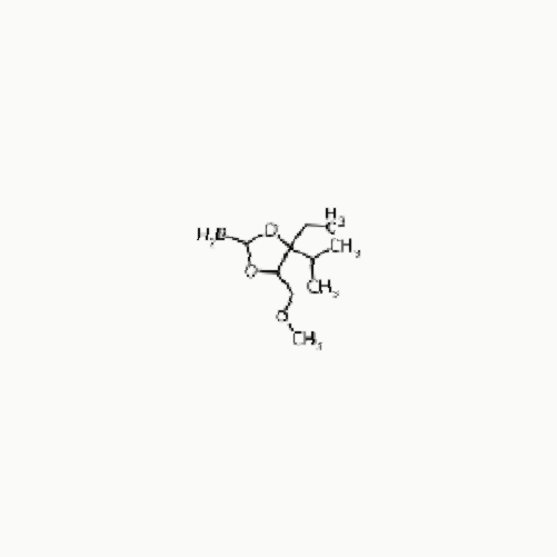 BC1OC(COC)C(CC)(C(C)C)O1